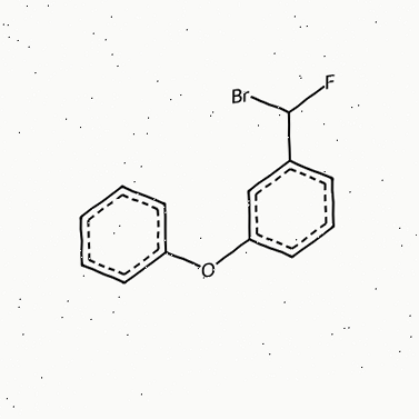 FC(Br)c1cccc(Oc2ccccc2)c1